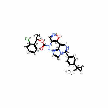 CC(OC(=O)Nc1cnoc1-c1cnc(-c2ccc(C3(C(=O)O)CC3)cc2)n2ccnc12)c1ccccc1Cl